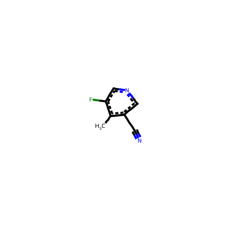 Cc1c(F)cncc1C#N